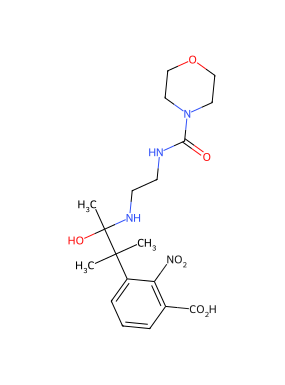 CC(O)(NCCNC(=O)N1CCOCC1)C(C)(C)c1cccc(C(=O)O)c1[N+](=O)[O-]